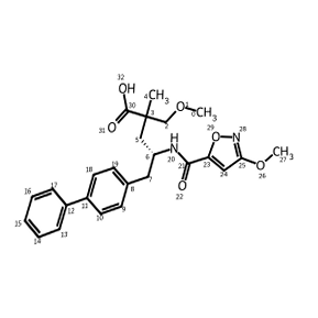 COCC(C)(C[C@@H](Cc1ccc(-c2ccccc2)cc1)NC(=O)c1cc(OC)no1)C(=O)O